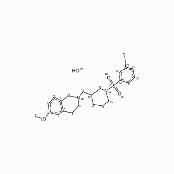 COc1ccc2c(c1)CCN(CC1CCCN(S(=O)(=O)c3cccc(C)c3)C1)C2.Cl